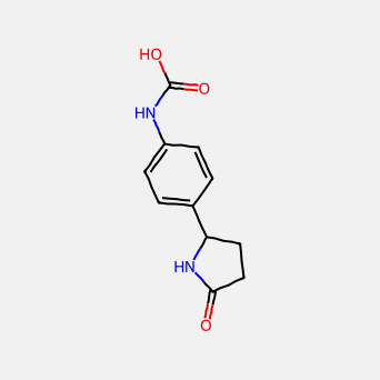 O=C(O)Nc1ccc(C2CCC(=O)N2)cc1